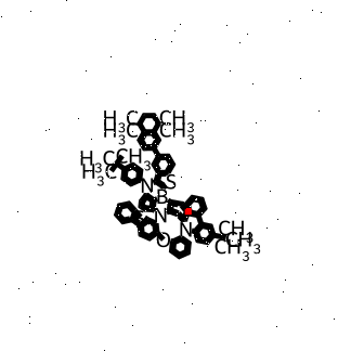 CC(C)(C)c1ccc(N2c3cccc4c3B(c3ccc5cc3N4c3c(ccc4c3sc3ccccc34)Oc3ccccc3N5c3ccc(C(C)(C)C)cc3-c3ccccc3)c3sc4ccc(-c5ccc6c(c5)C(C)(C)CCC6(C)C)cc4c32)cc1